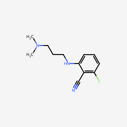 CN(C)CCCNc1cccc(F)c1C#N